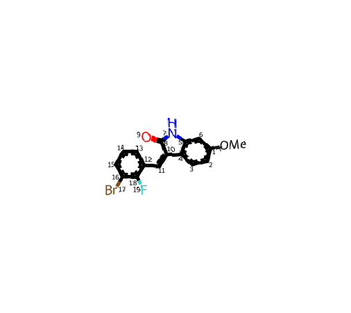 COc1ccc2c(c1)NC(=O)C2=Cc1cccc(Br)c1F